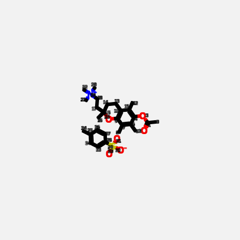 CC(=O)Oc1c(C)c(C)c2c(c1C)CCC(C)(CC[N+](C)(C)C)O2.Cc1ccc(S(=O)(=O)[O-])cc1